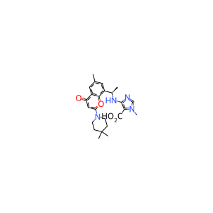 Cc1cc([C@@H](C)Nc2ncn(C)c2C(=O)O)c2oc(N3CCC(C)(C)CC3)cc(=O)c2c1